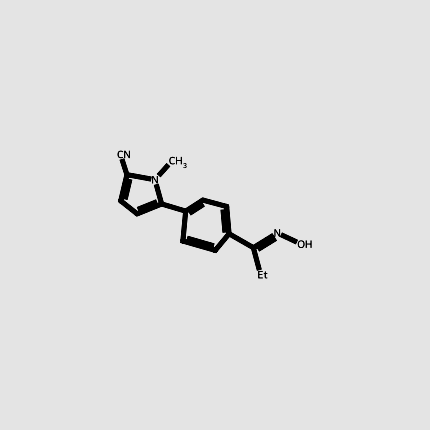 CCC(=NO)c1ccc(-c2ccc(C#N)n2C)cc1